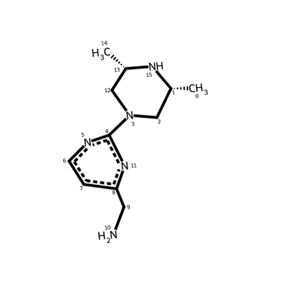 C[C@@H]1CN(c2nccc(CN)n2)C[C@H](C)N1